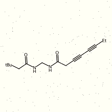 CCC#CC#CCC(=O)NCNC(=O)CC(C)(C)C